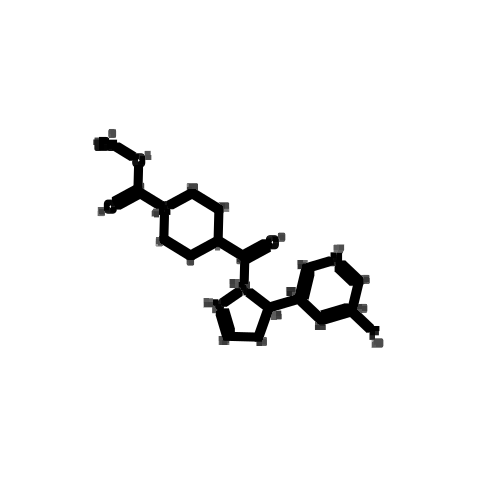 CC(C)(C)OC(=O)N1CCC(C(=O)N2N=CCC2c2cncc(F)c2)CC1